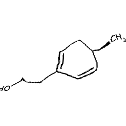 C[C@H]1C=CC(CCO)=CC1